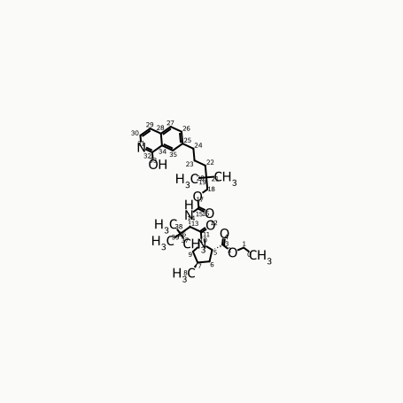 CCOC(=O)[C@@H]1C[C@@H](C)CN1C(=O)[C@@H](NC(=O)OCC(C)(C)CCCc1ccc2ccnc(O)c2c1)C(C)(C)C